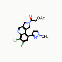 CC(=O)OCC(=O)N1Cc2cnc3c(Cl)c(Cl)cc(-c4ccn(C)n4)c3c2C1